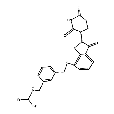 CC(C)C(NCc1cccc(CSc2cccc3c2CN(C2CCC(=O)NC2=O)C3=O)c1)C(C)C